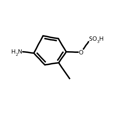 Cc1cc(N)ccc1OS(=O)(=O)O